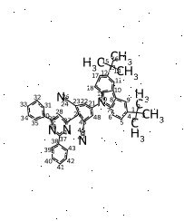 CC(C)(C)c1ccc2c(c1)c1cc(C(C)(C)C)ccc1n2-c1cc(C#N)c(-c2cc(-c3ccccc3)nc(-c3ccccc3)n2)c(C#N)c1